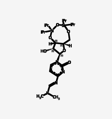 CC(C)[Si]1(C(C)C)OC[C@H]2O[C@@H](n3ccc(N=CN(C)C)nc3=O)[C@H](O)[C@@H]2O[Si](C(C)C)(C(C)C)O1